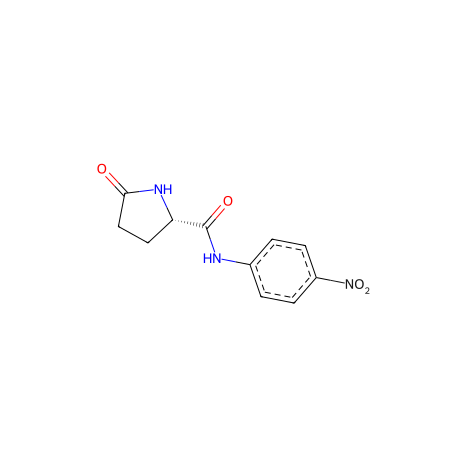 O=C1CC[C@@H](C(=O)Nc2ccc([N+](=O)[O-])cc2)N1